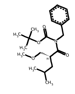 COC[C@@H](CC(C)C)C(=O)N(Cc1ccccc1)C(=O)OC(C)(C)C